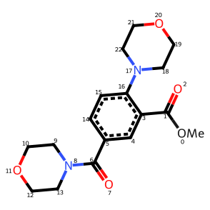 COC(=O)c1cc(C(=O)N2CCOCC2)ccc1N1CCOCC1